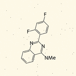 CNc1nc(-c2ccc(F)cc2F)nc2ccccc12